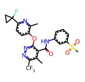 Cc1nc(C2(F)CC2)ccc1Oc1nnc(C(F)(F)F)c(C)c1C(=O)Nc1cccc(S(C)(=O)=O)c1